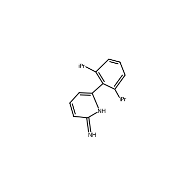 CC(C)c1cccc(C(C)C)c1-c1cccc(=N)[nH]1